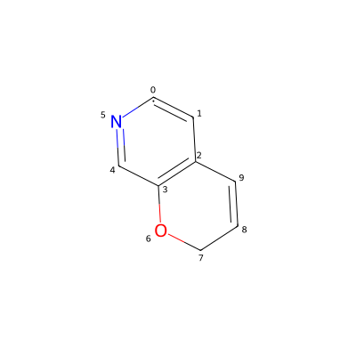 [c]1cc2c(cn1)OCC=C2